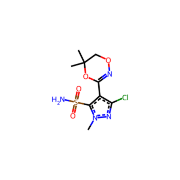 Cn1nc(Cl)c(C2=NOCC(C)(C)O2)c1S(N)(=O)=O